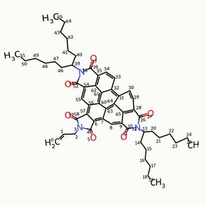 C=CCn1c(=O)c2c3cc4c(=O)n(C(CCCCCC)CCCCCC)c(=O)c5ccc6c7ccc8c(=O)n(C(CCCCCC)CCCCCC)c(=O)c9cc(c2c1=O)c(c7c89)c3c6c54